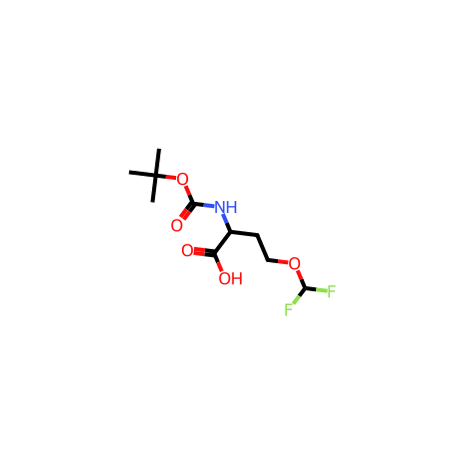 CC(C)(C)OC(=O)NC(CCOC(F)F)C(=O)O